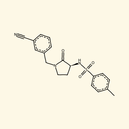 Cc1ccc(S(=O)(=O)N[C@H]2CCN(Cc3cccc(C#N)c3)C2=O)cc1